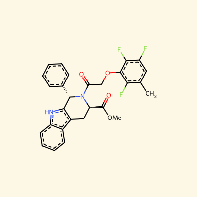 COC(=O)[C@H]1Cc2c([nH]c3ccccc23)[C@H](c2ccccc2)N1C(=O)COc1c(F)c(C)cc(F)c1F